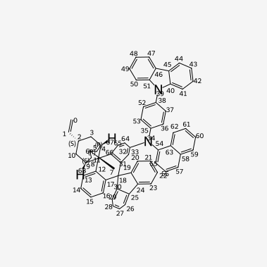 C=C[C@@H]1C[C@H]2C[C@H](C)C[C@@H](C1)C21c2ccccc2C2(c3ccccc3-c3ccccc32)c2cc(N(c3ccc(-n4c5ccccc5c5ccccc54)cc3)c3cccc4ccccc34)ccc21